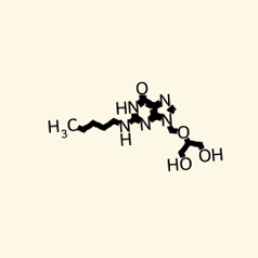 CCCCCNc1nc2c(ncn2COC(CO)CO)c(=O)[nH]1